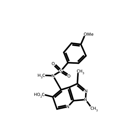 COc1ccc(S(=O)(=O)N(C)c2c(C(=O)O)cnc3c2c(C)nn3C)cc1